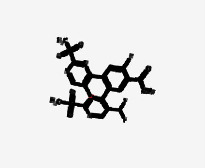 COC(=O)c1cc(-c2nc(S(C)(=O)=O)ncc2C(F)F)c(-c2nc(S(C)(=O)=O)ncc2C(F)F)cc1F